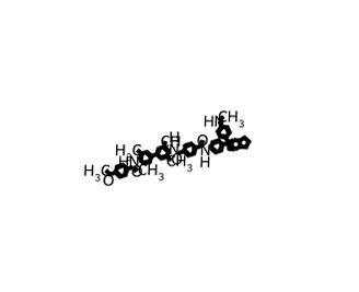 CNc1ccc(C2(c3ccc(NC(=O)c4ccc(C(=O)Nc5c(C)cc(-c6cc(C)c(NC(=O)c7ccc(C(C)=O)cc7)c(C)c6)cc5C)cc4)cc3)CC3CC2C2CCCC32)cc1